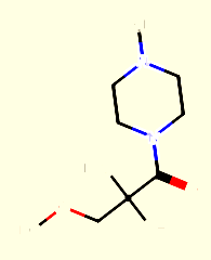 COCC(C)(C)C(=O)N1CCN(C)CC1